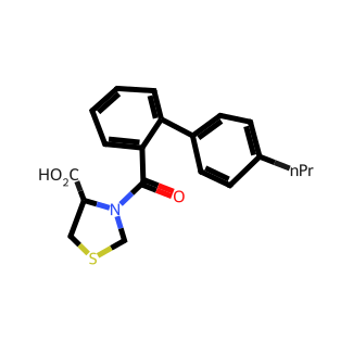 CCCc1ccc(-c2ccccc2C(=O)N2CSCC2C(=O)O)cc1